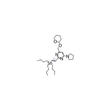 CCC[CH2][Sn](/[CH]=C/c1nc(COC2CCCCO2)cc(N2CCCC2)n1)([CH2]CCC)[CH2]CCC